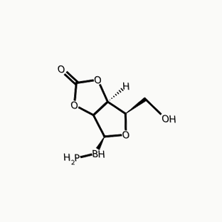 O=C1OC2[C@H](BP)O[C@H](CO)[C@@H]2O1